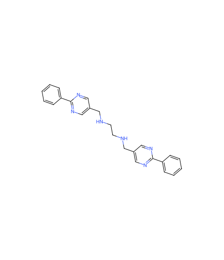 c1ccc(-c2ncc(CNCCNCc3cnc(-c4ccccc4)nc3)cn2)cc1